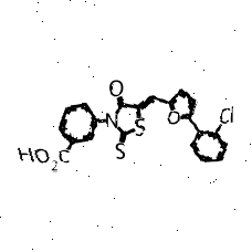 O=C(O)c1cccc(N2C(=O)C(=Cc3ccc(-c4ccccc4Cl)o3)SC2=S)c1